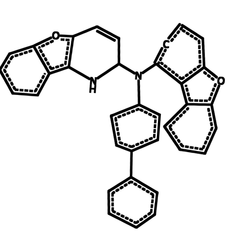 C1=CC(N(c2ccc(-c3ccccc3)cc2)c2cccc3oc4ccccc4c23)Nc2c1oc1ccccc21